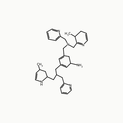 CC1C=CNC(CC(CC2=CC(N)CC(CN(CC3=NC=CCC3C)Cc3ccccn3)=C2)Cc2ccccn2)C1